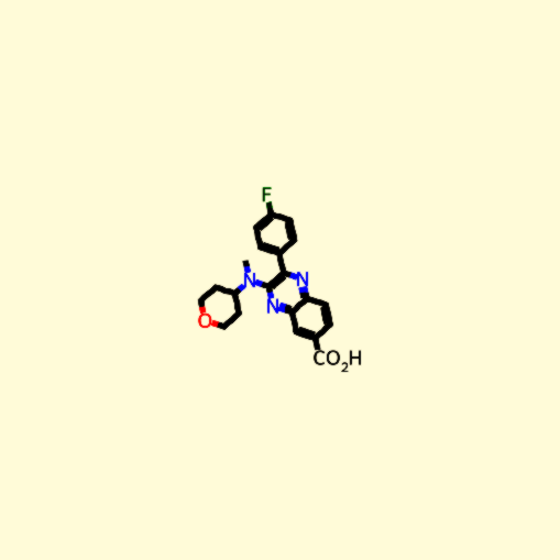 CN(c1nc2cc(C(=O)O)ccc2nc1-c1ccc(F)cc1)C1CCOCC1